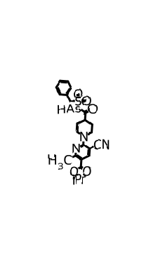 Cc1nc(N2CCC(C(=O)[AsH]S(=O)(=O)Cc3ccccc3)CC2)c(C#N)cc1C(=O)OC(C)C